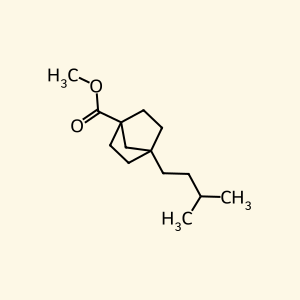 COC(=O)C12CCC(CCC(C)C)(CC1)C2